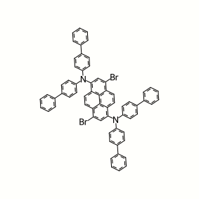 Brc1cc(N(c2ccc(-c3ccccc3)cc2)c2ccc(-c3ccccc3)cc2)c2ccc3c(Br)cc(N(c4ccc(-c5ccccc5)cc4)c4ccc(-c5ccccc5)cc4)c4ccc1c2c34